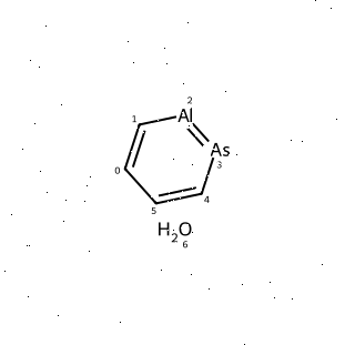 C1=[CH][Al]=[As]C=C1.O